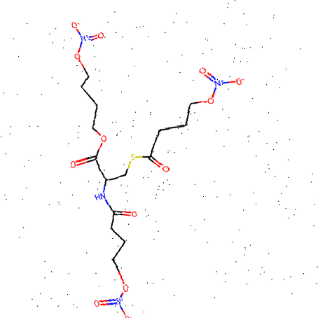 O=C(CCCO[N+](=O)[O-])NC(CSC(=O)CCCO[N+](=O)[O-])C(=O)OCCCCO[N+](=O)[O-]